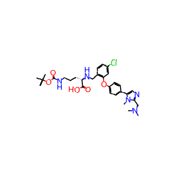 CN(C)Cc1ncc(-c2ccc(Oc3cc(Cl)ccc3CN[C@@H](CCCNC(=O)OC(C)(C)C)C(=O)O)cc2)n1C